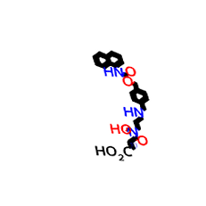 O=C(O)/C=C/C(=O)N(O)CCCNCc1ccc(COC(=O)Nc2cccc3ccccc23)cc1